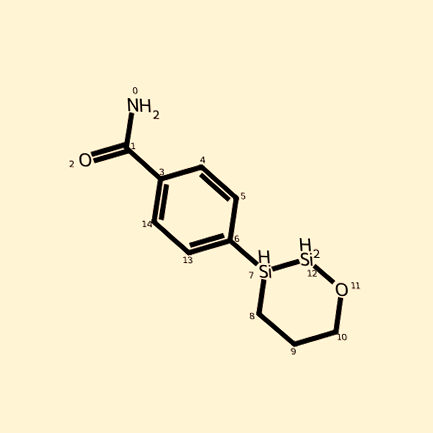 NC(=O)c1ccc([SiH]2CCCO[SiH2]2)cc1